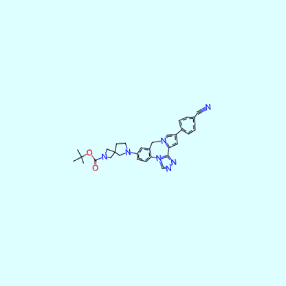 CC(C)(C)OC(=O)N1CC2(CCN(c3ccc4c(c3)Cn3cc(-c5ccc(C#N)cc5)cc3-c3nncn3-4)C2)C1